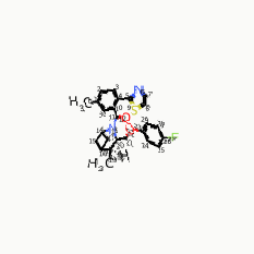 Cc1ccc(-c2nccs2)c(C(=O)N2C3CC(C3)[C@H](C)C2COc2ccc(F)cc2)c1